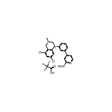 CNc1cc(-c2cccc([C@@H]3CN(C)Cc4c(Cl)cc(Cl)cc43)c2)ccn1.O=C(O)C(F)(F)F